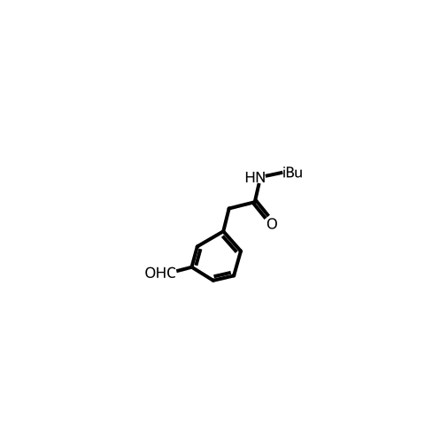 CCC(C)NC(=O)Cc1cccc(C=O)c1